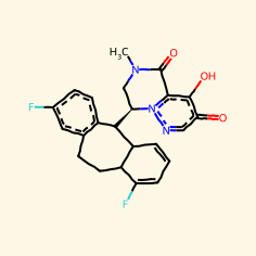 CN1C[C@H](C2c3ccc(F)cc3CCC3C(F)=CC=CC32)n2ncc(=O)c(O)c2C1=O